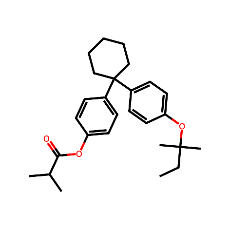 CCC(C)(C)Oc1ccc(C2(c3ccc(OC(=O)C(C)C)cc3)CCCCC2)cc1